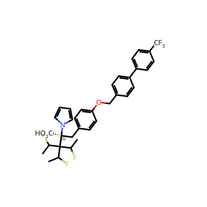 CC(F)C(C(C)F)(C(C)F)[C@@](Cc1ccc(OCc2ccc(-c3ccc(C(F)(F)F)cc3)cc2)cc1)(C(=O)O)n1cccc1